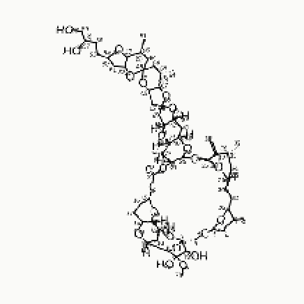 C=C1CC2CC[C@]34OC([C@H]5C[C@@H](O3)[C@H]3OC(CCC3O5)CC(=O)O[C@H]3C(CC5O[C@@H](CCC1O2)C[C@@H](C)C5=C)O[C@H]1C[C@H]2O[C@]5(CC6OC7(C[C@H](C)C8O[C@H](CC[C@@H](O)CO)CC8O7)C[C@H](C)C6O5)C[C@H]2O[C@H]1[C@@H]3C)C(O)(OC)C4O